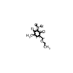 CCOCc1cc(C)c(F)c([N+](=O)[O-])c1Cl